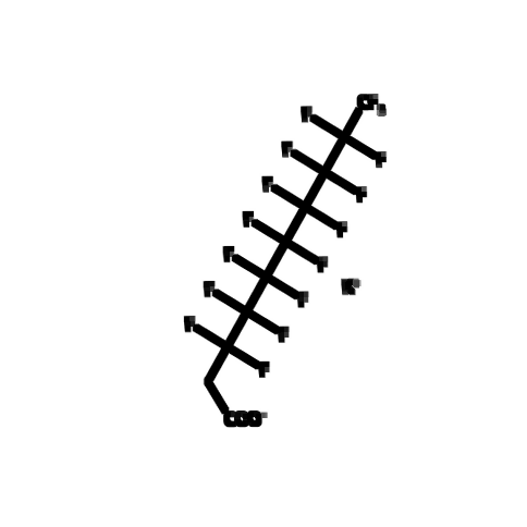 O=C([O-])CC(F)(F)C(F)(F)C(F)(F)C(F)(F)C(F)(F)C(F)(F)C(F)(F)C(F)(F)F.[K+]